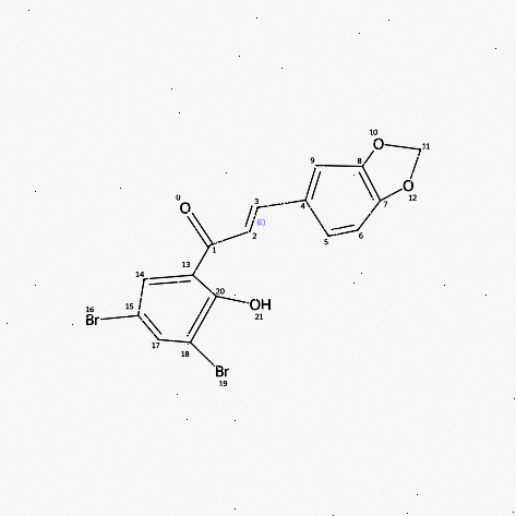 O=C(/C=C/c1ccc2c(c1)OCO2)c1cc(Br)cc(Br)c1O